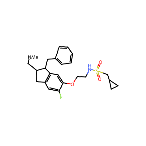 CNCC1Cc2cc(F)c(OCCNS(=O)(=O)CC3CC3)cc2C1Cc1ccccc1